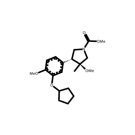 COC(=O)N1C[C@@H](c2ccc(OC)c(OC3CCCC3)c2)[C@](C)(OC)C1